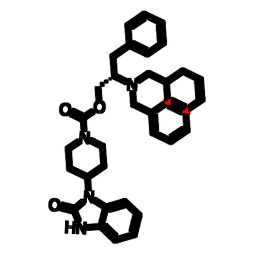 O=C(OC[C@H](Cc1ccccc1)N(Cc1ccccc1)CC1C=CC=CC1)N1CCC(n2c(=O)[nH]c3ccccc32)CC1